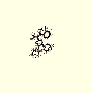 CC(=O)C(C(=O)c1ccccc1Cl)=C1SC(N2CCOCC2)C(N2CCOCC2)S1